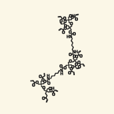 C=CC(=O)CCC(CO)(COCC(COC(=O)C=C)(COC(=O)C=C)COC(=O)NCCCCCCNC(=O)OCC(COCC(COC(=O)C=C)(COC(=O)C=C)COC(=O)NCCCCCCNC(=O)OCC(COCC(CO)(COC(=O)C=C)COC(=O)C=C)(COC(=O)C=C)COC(=O)C=C)(COC(=O)C=C)COC(=O)C=C)COC(=O)C=C